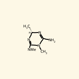 CNC1=N[C@H](C)N=C(N)N1C